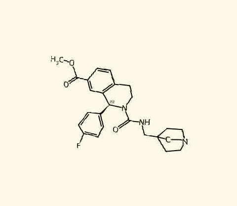 COC(=O)c1ccc2c(c1)[C@H](c1ccc(F)cc1)N(C(=O)NCC13CCN(CC1)CC3)CC2